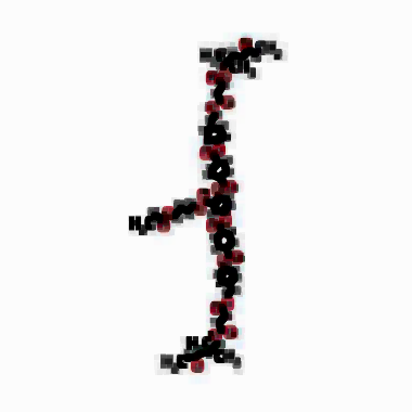 C=CC(=O)CCC(C)(C)COC(=O)CCC(=O)OCCc1ccc(OC(=O)C2CCC(C(=O)Oc3ccc(OC(=O)C4CCC(C(=O)Oc5ccc(CCOC(=O)CCC(=O)OCC(C)(C)CCC(=O)C=C)cc5)CC4)c(C(=O)OCCCCOC(=O)C=C)c3)CC2)cc1